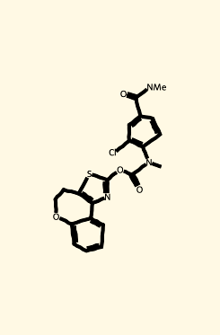 CNC(=O)c1ccc(N(C)C(=O)Oc2nc3c(s2)CCOc2ccccc2-3)c(Cl)c1